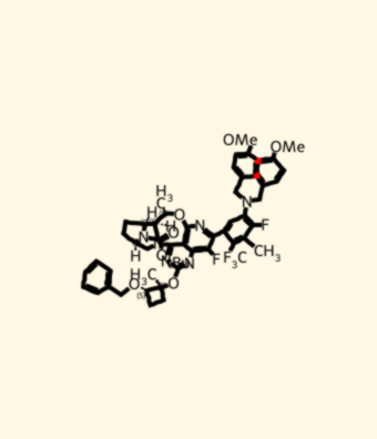 COc1ccc(CN(Cc2ccc(OC)cc2)c2cc(-c3nc4c5c(nc(O[C@]6(C)CC[C@@H]6OCc6ccccc6)nc5c3F)N3C[C@H]5CC[C@@H]([C@H]3[C@H](C)O4)N5C(=O)OC(C)(C)C)c(C(F)(F)F)c(C)c2F)cc1